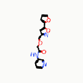 O=C(COCc1cc(-c2ccco2)on1)Nc1cccnc1